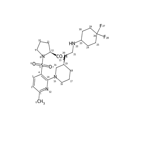 Cc1ccc(S(=O)(=O)N2CCC[C@H]2C(=O)O)c(N2CCC[C@H](CCNC3CCC(F)(F)CC3)C2)n1